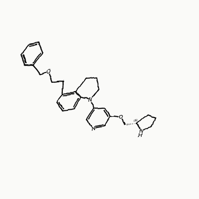 c1ccc(COCCc2cccc3c2CCCN3c2cncc(OC[C@@H]3CCCN3)c2)cc1